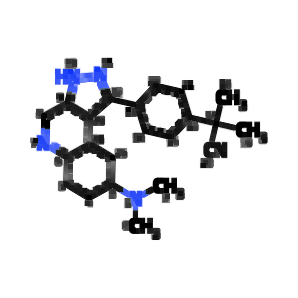 CN(C)c1ccc2ncc3[nH]nc(-c4ccc(C(C)(C)C#N)cc4)c3c2c1